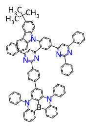 CC(C)(C)c1ccc2c(c1)c1ccccc1n2-c1ccc(-c2cc(-c3ccccc3)nc(-c3ccccc3)n2)cc1-c1cc(-c2ccccc2)nc(-c2ccc(-c3cc4c5c(c3)N(c3ccccc3)c3ccccc3B5c3ccccc3N4c3ccccc3)cc2)n1